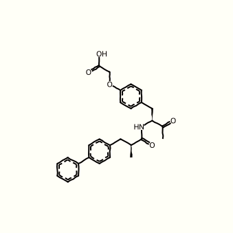 CC(=O)[C@H](Cc1ccc(OCC(=O)O)cc1)NC(=O)[C@@H](C)Cc1ccc(-c2ccccc2)cc1